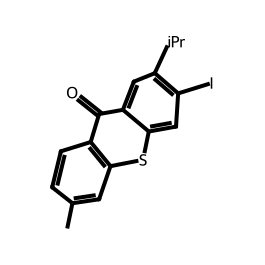 Cc1ccc2c(=O)c3cc(C(C)C)c(I)cc3sc2c1